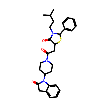 CC(C)CCN1C(=O)C(CC(=O)N2CCC(N3C(=O)Cc4ccccc43)CC2)SC1c1ccccc1